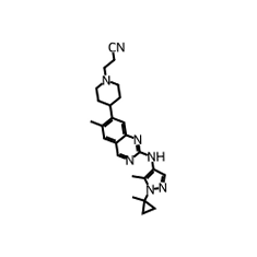 Cc1cc2cnc(Nc3cnn(C4(C)CC4)c3C)nc2cc1C1CCN(CCC#N)CC1